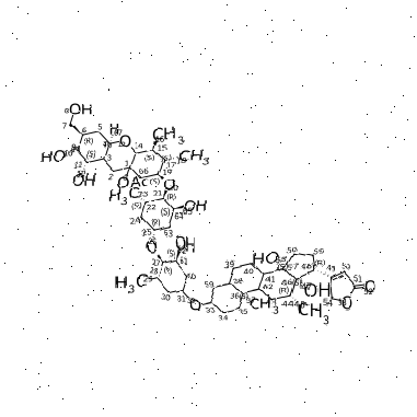 CC(=O)OC12CC3[C@@H](C[C@H](CO)[C@@H](O)[C@H]3O)OC1[C@@H](C)[C@H](C)[C@@H](O[C@@H]1[C@@H](C)C[C@@H](O[C@@H]3C(C)CC(OC4CC[C@@]5(C)C(CCC6C5C[C@@H](C)[C@]5(O)[C@@H](C7=CC(=O)OC7)CC[C@]65O)C4)C[C@@H]3O)C[C@@H]1O)C2